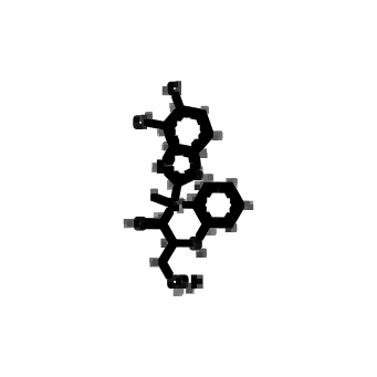 C[N+]1(c2nc3c(Cl)c(Cl)ccc3s2)C(=O)C(CC(=O)O)Oc2ccccc21